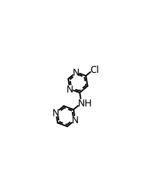 Clc1cc(Nc2cnccn2)ncn1